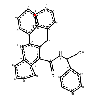 CC(=O)OC(NC(=O)c1c(Cc2ccncc2)c(-c2ccccc2)nc2ccccc12)c1ccccc1